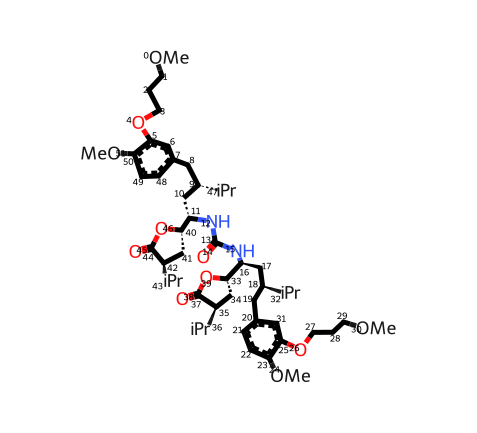 COCCCOc1cc(C[C@@H](C[C@H](NC(=O)N[C@@H](C[C@H](Cc2ccc(OC)c(OCCCOC)c2)C(C)C)[C@@H]2C[C@@H](C(C)C)C(=O)O2)[C@@H]2C[C@@H](C(C)C)C(=O)O2)C(C)C)ccc1OC